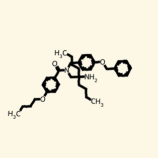 CCCCOc1ccc(C(=O)N(Cc2ccc(OCc3ccccc3)cc2)CC(N)(CCCC)CCCC)cc1